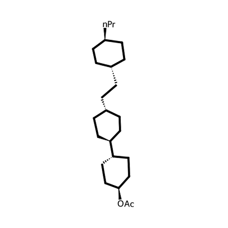 CCC[C@H]1CC[C@H](CC[C@H]2CC[C@H]([C@H]3CC[C@H](OC(C)=O)CC3)CC2)CC1